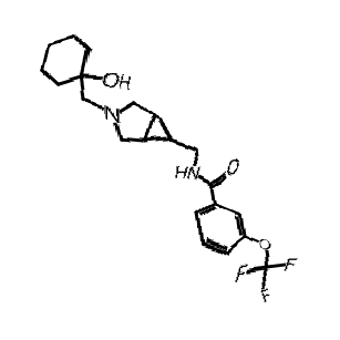 O=C(NCC1C2CN(CC3(O)CCCCC3)CC12)c1cccc(OC(F)(F)F)c1